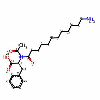 CC(=O)N(C(=O)CCCCCCCCCCCN)[C@@H](Cc1ccccc1)C(=O)O